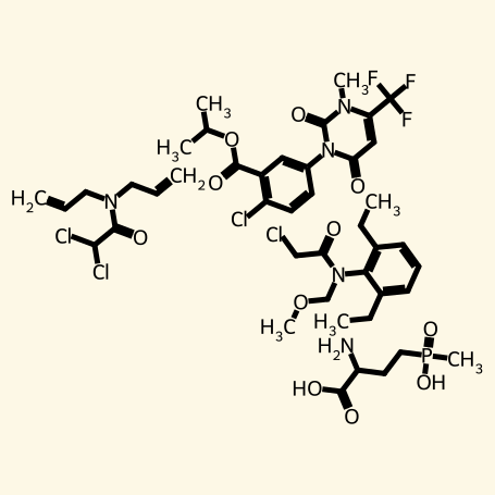 C=CCN(CC=C)C(=O)C(Cl)Cl.CC(C)OC(=O)c1cc(-n2c(=O)cc(C(F)(F)F)n(C)c2=O)ccc1Cl.CCc1cccc(CC)c1N(COC)C(=O)CCl.CP(=O)(O)CCC(N)C(=O)O